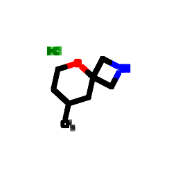 Cl.FC(F)(F)C1CCOC2(CNC2)C1